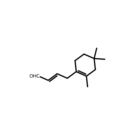 CC1=C(CC=CC=O)CCC(C)(C)C1